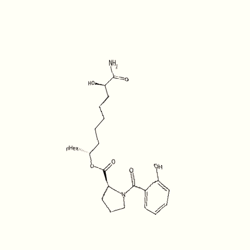 CCCCCC[C@H](CCCCC[C@@H](O)C(N)=O)OC(=O)[C@@H]1CCCN1C(=O)c1ccccc1O